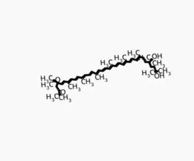 CC(/C=C/C=C(C)/C=C/C=C(C)/C=C/C1(CC2OC2(C)C)OC1(C)C)=C\C=C\C=C(C)\C=C\C=C(C)\C=C\C=C(/C)CCC(CCC(C)(C)O)C(C)(C)O